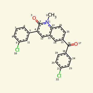 Cn1c(=O)c(-c2cccc(Cl)c2)cc2cc(C(=O)c3ccc(Cl)cc3)ccc21